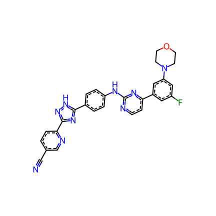 N#Cc1ccc(-c2n[nH]c(-c3ccc(Nc4nccc(-c5cc(F)cc(N6CCOCC6)c5)n4)cc3)n2)nc1